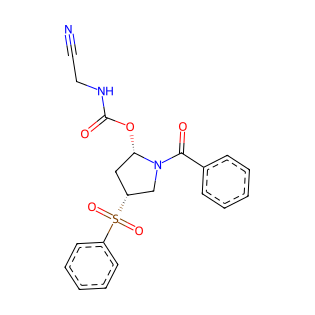 N#CCNC(=O)O[C@H]1C[C@@H](S(=O)(=O)c2ccccc2)CN1C(=O)c1ccccc1